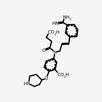 N=C(N)c1cccc(/C=C/CN(C(=O)CCC(=O)O)c2ccc(OC3CCNCC3)c(C(=O)O)c2)c1